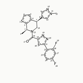 C[C@H]1c2sccc2[C@@H](c2cnn(C)c2)CN1C(=O)c1nnc(-c2ccc(F)cc2F)s1